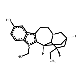 CC[C@H]1C[C@H]2C[C@H]3c4c(c5cc(O)ccc5n4CS)CCN(C2)C13